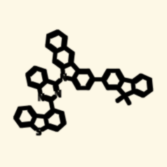 CC1(C)c2ccccc2-c2ccc(-c3ccc4c(c3)c3cc5ccccc5cc3n4-c3nc(-c4cccc5sc6ccccc6c45)nc4ccccc34)cc21